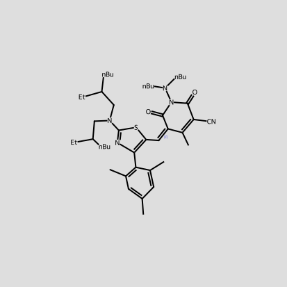 CCCCC(CC)CN(CC(CC)CCCC)c1nc(-c2c(C)cc(C)cc2C)c(/C=C2\C(=O)N(N(CCCC)CCCC)C(=O)C(C#N)=C2C)s1